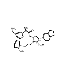 CCCCN(C(=O)CN1C[C@H](c2ccc3c(c2)CCO3)[C@@H](C(=O)O)[C@@H]1CCCc1ccccc1OC)c1cccc(CN)c1